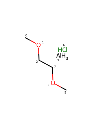 COCCOC.Cl.[AlH3]